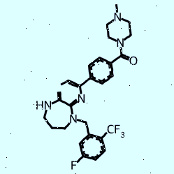 C=C1NCCCN(Cc2cc(F)ccc2C(F)(F)F)/C1=N/C(=C\C)c1ccc(C(=O)N2CCN(C)CC2)cc1